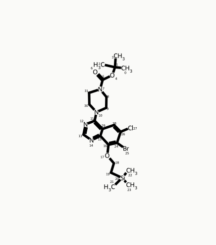 CC(C)(C)OC(=O)N1CCN(c2ncnc3c(OCC[Si](C)(C)C)c(Br)c(Cl)cc23)CC1